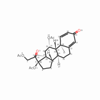 CC(=O)OCC(=O)[C@@]1(OC(C)=O)CC[C@H]2[C@@H]3CCC4=CC(=O)C=C[C@]4(C)[C@H]3[C@@H](OC(C)=O)C[C@@]21C